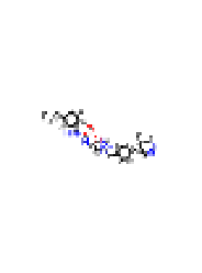 Cc1cnncc1-c1ccc(C[n+]2cc([N-]C(=O)Nc3cccc(C(F)(F)F)c3)on2)cc1